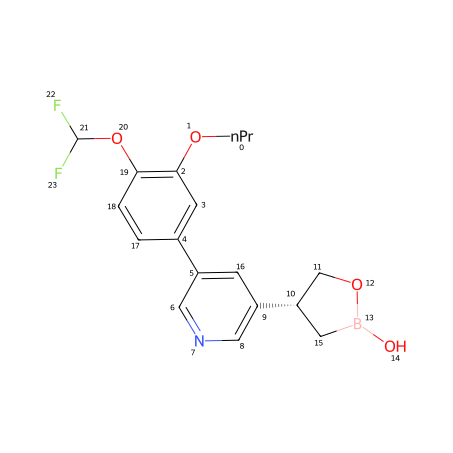 CCCOc1cc(-c2cncc([C@@H]3COB(O)C3)c2)ccc1OC(F)F